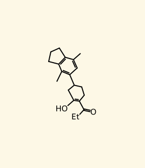 CCC(=O)C1=C(O)CC(c2cc(C)c3c(c2C)CCC3)CC1